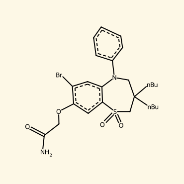 CCCCC1(CCCC)CN(c2ccccc2)c2cc(Br)c(OCC(N)=O)cc2S(=O)(=O)C1